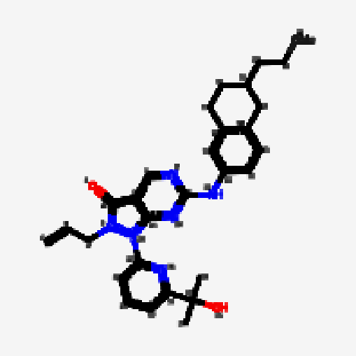 C=CCn1c(=O)c2cnc(Nc3ccc4c(c3)CCC(CCOC)C4)nc2n1-c1cccc(C(C)(C)O)n1